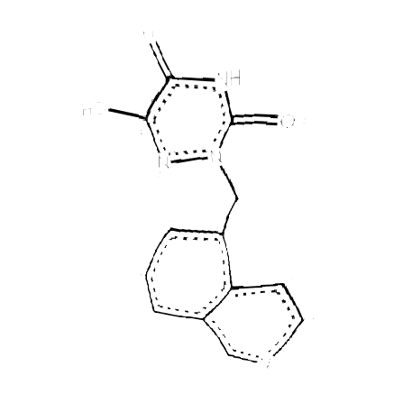 O=c1[nH]c(=O)n(Cc2cccc3cnccc23)nc1O